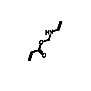 C=CNCOC(=O)C=C